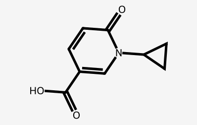 O=C(O)c1ccc(=O)n(C2CC2)c1